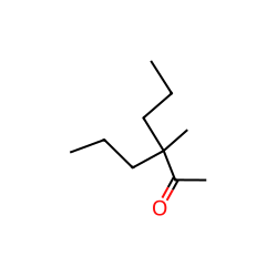 CCCC(C)(CCC)C(C)=O